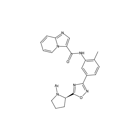 CC(=O)N1CCC[C@@H]1c1nc(-c2ccc(C)c(NC(=O)c3cnc4ccccn34)c2)no1